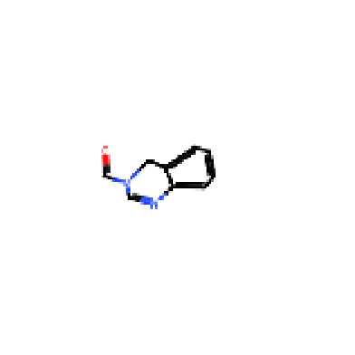 O=[C]N1C=Nc2ccccc2C1